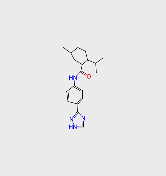 CC1CCC(C(C)C)C(C(=O)Nc2ccc(-c3nc[nH]n3)cc2)C1